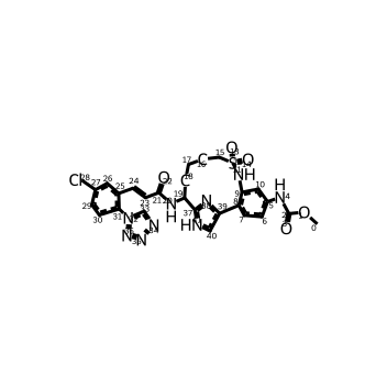 COC(=O)Nc1ccc2c(c1)NS(=O)(=O)CCCCC(NC(=O)/C=C/c1cc(Cl)ccc1-n1cnnn1)c1nc-2c[nH]1